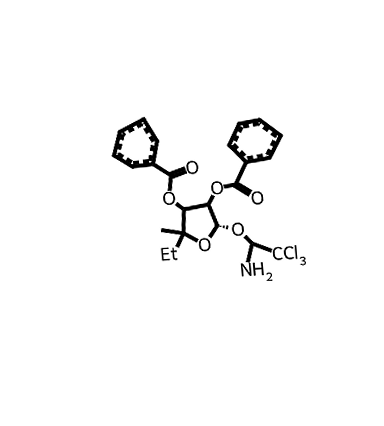 CCC1(C)O[C@@H](OC(N)C(Cl)(Cl)Cl)C(OC(=O)c2ccccc2)C1OC(=O)c1ccccc1